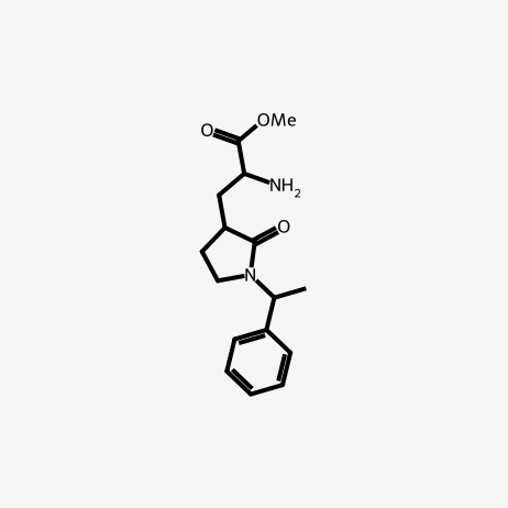 COC(=O)C(N)CC1CCN(C(C)c2ccccc2)C1=O